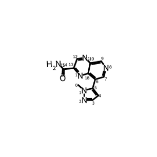 Cn1nccc1-c1cncc2ncc(C(N)=O)nc12